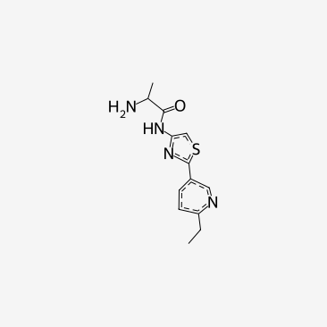 CCc1ccc(-c2nc(NC(=O)C(C)N)cs2)cn1